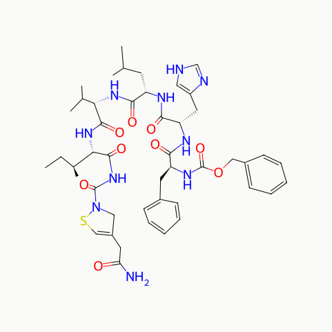 CC[C@H](C)[C@H](NC(=O)[C@@H](NC(=O)[C@H](CC(C)C)NC(=O)[C@H](Cc1c[nH]cn1)NC(=O)[C@H](Cc1ccccc1)NC(=O)OCc1ccccc1)C(C)C)C(=O)NC(=O)N1CC(CC(N)=O)=CS1